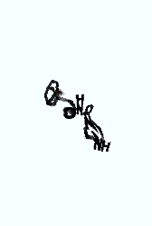 O=C(CC12CC3CC(CC(C3)C1)C2)NCC(=O)N1CCNCC1